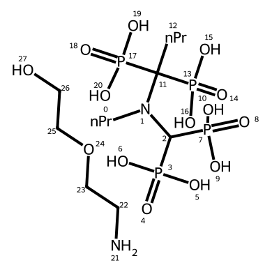 CCCN(C(P(=O)(O)O)P(=O)(O)O)C(CCC)(P(=O)(O)O)P(=O)(O)O.NCCOCCO